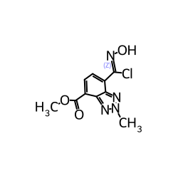 COC(=O)c1ccc(/C(Cl)=N/O)c2nn(C)nc12